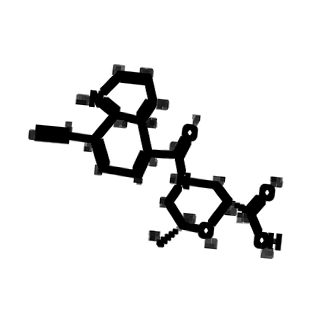 C#Cc1ccc(C(=O)N2C[C@@H](C)O[C@@H](C(=O)O)C2)c2cccnc12